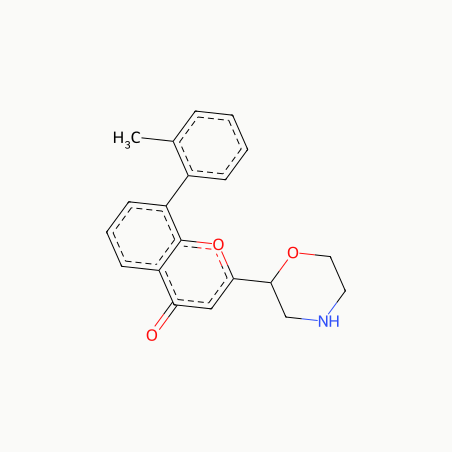 Cc1ccccc1-c1cccc2c(=O)cc(C3CNCCO3)oc12